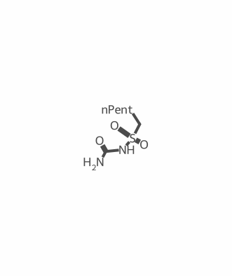 CCCCCCS(=O)(=O)NC(N)=O